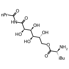 CCCC(=O)NC(=O)[C@H](O)[C@@H](O)[C@H](O)[C@H](O)COC(=O)[C@@H](N)[C@@H](C)CC